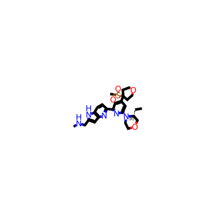 CC[C@@H]1COCCN1c1cc(C2(S(C)(=O)=O)CCOCC2)cc(-c2ccc3[nH]c(CNC)cc3n2)n1